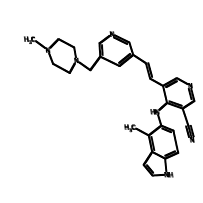 Cc1c(Nc2c(C#N)cncc2C=Cc2cncc(CN3CCN(C)CC3)c2)ccc2[nH]ccc12